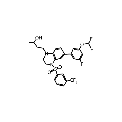 CC(O)CCN1CCN(S(=O)(=O)c2cccc(C(F)(F)F)c2)c2cc(-c3cc(F)cc(OC(F)F)c3)ccc21